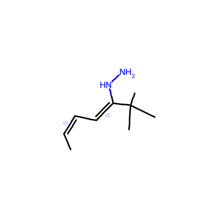 C/C=C\C=C(/NN)C(C)(C)C